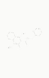 CCCCn1c(=O)c(C(=O)NCc2ccccn2)c(O)c2ccccc21